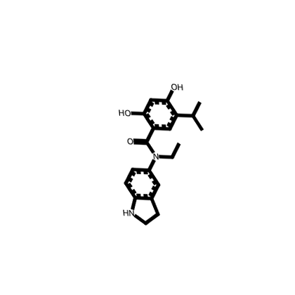 CCN(C(=O)c1cc(C(C)C)c(O)cc1O)c1ccc2c(c1)CCN2